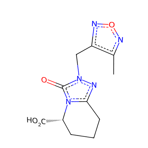 Cc1nonc1Cn1nc2n(c1=O)[C@@H](C(=O)O)CCC2